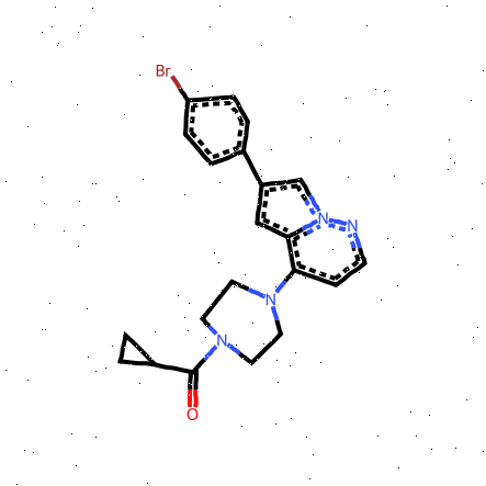 O=C(C1CC1)N1CCN(c2ccnn3cc(-c4ccc(Br)cc4)cc23)CC1